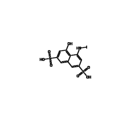 O=S(=O)(O)c1cc(O)c2c(NI)cc(S(=O)(=O)O)cc2c1